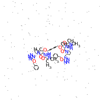 CN[C@@H](C)C(=O)N[C@H](C(=O)N1CCC[C@H]1Cn1nnnc1OCc1ccccc1)[C@@H](C)OCC#CC#CCO[C@H](C)[C@H](NC(=O)[C@H](C)NC)C(=O)N1CCC[C@H]1Cn1nnnc1OCc1ccccc1